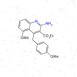 CCOC(=O)c1c(N)nc2cccc(OC)c2c1Cc1ccc(OC)cc1